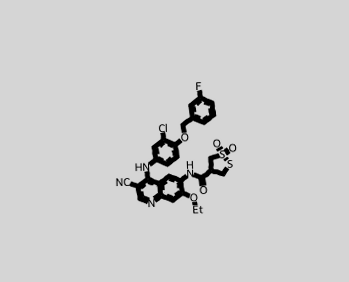 CCOc1cc2ncc(C#N)c(Nc3ccc(OCc4cccc(F)c4)c(Cl)c3)c2cc1NC(=O)C1CSS(=O)(=O)C1